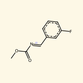 COC(=O)/N=C/c1cccc(F)c1